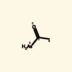 CC(=O)[AsH2]